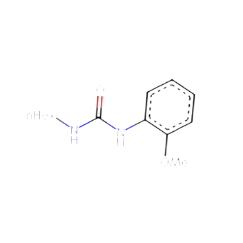 CCCCCCNC(=O)Nc1ccccc1OC